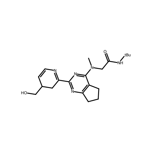 CN(CC(=O)NC(C)(C)C)c1nc(C2=NC=CC(CO)C2)nc2c1CCC2